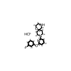 Cl.Fc1cccc(Oc2cccc(N3CCC4(CC3)CNCCO4)n2)c1